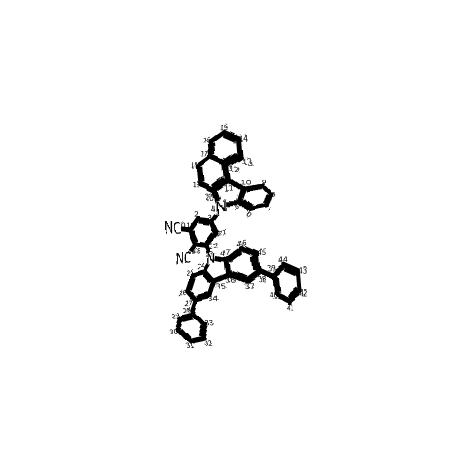 N#Cc1cc(-n2c3ccccc3c3c4ccccc4ccc32)cc(-n2c3ccc(-c4ccccc4)cc3c3cc(-c4ccccc4)ccc32)c1C#N